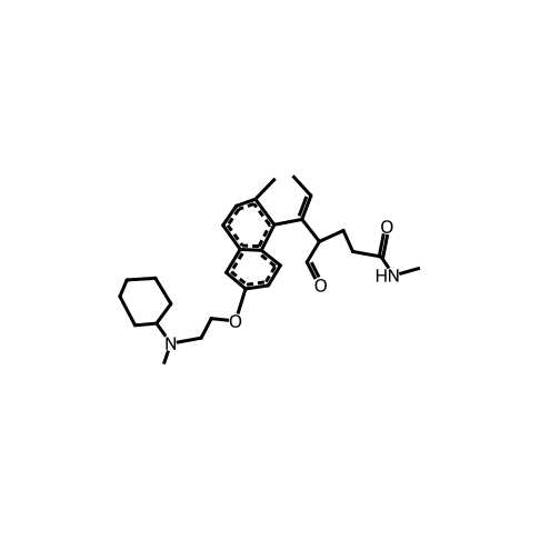 C/C=C(\c1c(C)ccc2cc(OCCN(C)C3CCCCC3)ccc12)C(C=O)CCC(=O)NC